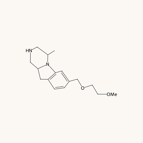 COCCOCc1ccc2c(c1)N1C(C)CNCC1C2